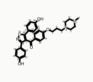 CN1CCN(CCCOc2ccc(C(=O)c3c(-c4ccc(O)cc4)noc3-c3ccc(O)cc3)cc2)CC1